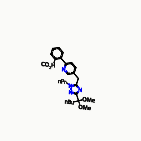 CCCCC(OC)(OC)c1nc(Cc2ccc(-c3ccccc3C(=O)O)nc2)n(CCC)n1